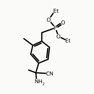 CCOP(=O)(Cc1ccc(C(C)(N)C#N)cc1C)OCC